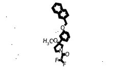 COC1(c2cccc(OCc3ccc4ccccc4c3)c2)CCN(C(=O)C(F)F)C1